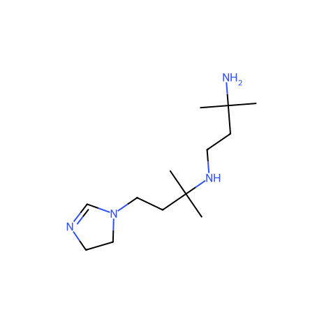 CC(C)(N)CCNC(C)(C)CCN1C=NCC1